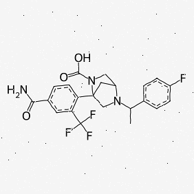 CC(c1ccc(F)cc1)N1CC2(c3ccc(C(N)=O)cc3C(F)(F)F)CC1CN2C(=O)O